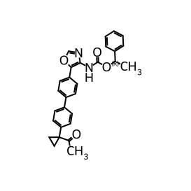 CC(=O)C1(c2ccc(-c3ccc(-c4ocnc4NC(=O)O[C@H](C)c4ccccc4)cc3)cc2)CC1